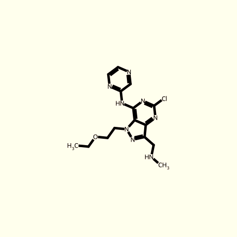 CCOCCn1nc(CNC)c2nc(Cl)nc(Nc3cnccn3)c21